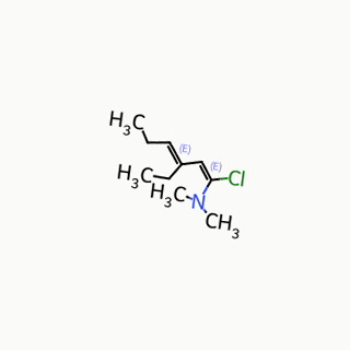 CC/C=C(/C=C(/Cl)N(C)C)CC